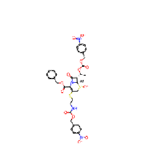 CC(OC(=O)OCc1ccc([N+](=O)[O-])cc1)[C@H]1C(=O)N2C(C(=O)OCc3ccccc3)=C(SCCNC(=O)OCc3ccc([N+](=O)[O-])cc3)C[S+]([O-])[C@H]12